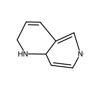 C1=CC2=C[N]C=CC2NC1